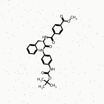 COC(=O)c1ccc(C(=O)N[C@H](Cc2ccccc2)C(=O)Nc2ccc(NC(=O)OC(C)(C)C)cc2)cc1